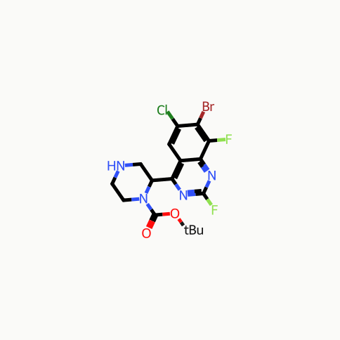 CC(C)(C)OC(=O)N1CCNCC1c1nc(F)nc2c(F)c(Br)c(Cl)cc12